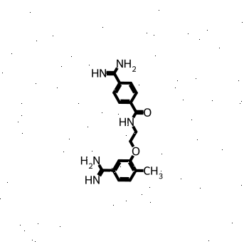 Cc1ccc(C(=N)N)cc1OCCNC(=O)c1ccc(C(=N)N)cc1